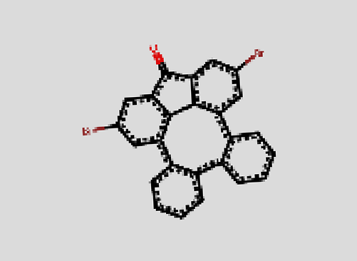 O=c1c2cc(Br)cc3c2-c2c1cc(Br)cc2c1ccccc1c1ccccc31